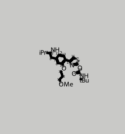 COCCCOc1cc(CC(N)C(C)C)ccc1-c1csc(OC(=O)NC(C)(C)C)n1